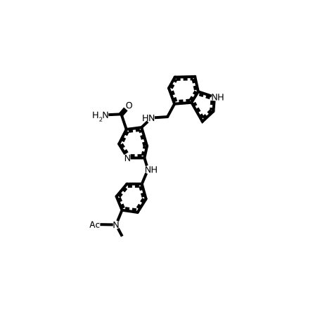 CC(=O)N(C)c1ccc(Nc2cc(NCc3cccc4[nH]ccc34)c(C(N)=O)cn2)cc1